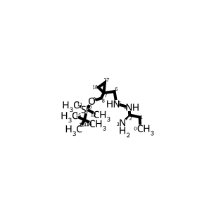 CC[C@@H](N)NNCC1(CO[Si](C)(C)C(C)(C)C)CC1